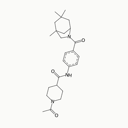 CC(=O)N1CCC(C(=O)Nc2ccc(C(=O)N3CC4(C)CC3CC(C)(C)C4)cc2)CC1